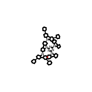 c1ccc(-c2ccc3c(c2)c2cc(-c4ccccc4)ccc2n3-c2ccc3c4ccc(-n5c6ccc(-c7ccccc7)cc6c6cc(-c7ccccc7)ccc65)cc4n(-c4nc(-n5c6ccccc6c6ccccc65)nc(-n5c6ccccc6c6ccccc65)n4)c3c2)cc1